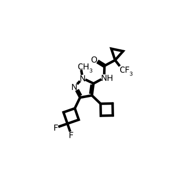 Cn1nc(C2CC(F)(F)C2)c(C2CCC2)c1NC(=O)C1(C(F)(F)F)CC1